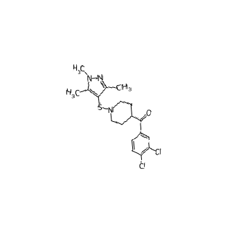 Cc1nn(C)c(C)c1SN1CCC(C(=O)c2ccc(Cl)c(Cl)c2)CC1